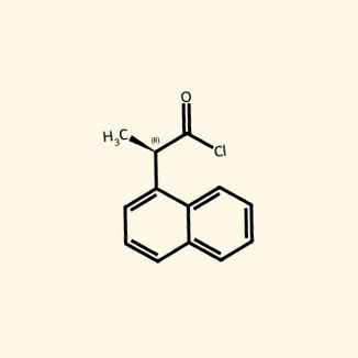 C[C@@H](C(=O)Cl)c1cccc2ccccc12